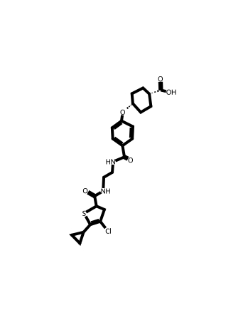 O=C(NCCNC(=O)C1CC(Cl)=C(C2CC2)S1)c1ccc(O[C@H]2CC[C@@H](C(=O)O)CC2)cc1